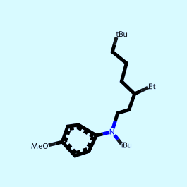 CCC(CCCC(C)(C)C)CCN(c1ccc(OC)cc1)C(C)CC